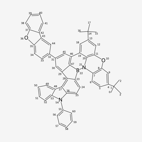 CC(C)(C)c1ccc2c(c1)Oc1cc(C(C)(C)C)cc3c1N2B1c2ccc4c(c2-c2cc(-c5ccc6oc7ccccc7c6c5)cc-3c21)c1ccccc1n4-c1ccccc1